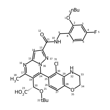 CCCCOc1cc(F)ccc1CNC(=O)c1cc2nc(C)c([C@H](OC(C)(C)C)C(=O)O)c(-c3ccc4c(c3Cl)NCCO4)n2n1